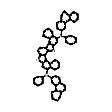 c1ccc(N(c2ccc3ccc4ccccc4c3c2)c2cc3oc4c(ccc5oc6cc(N(c7ccccc7)c7ccc8ccc9ccccc9c8c7)c7ccccc7c6c54)c3c3ccccc23)cc1